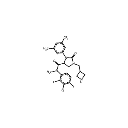 Cc1cc(C(F)(F)F)cc(N2C(=O)N(CC3CNC3)CC2C(=O)N(C)c2ccc(F)c(Cl)c2F)n1